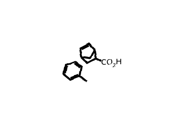 Cc1ccccc1.O=C(O)C1CC2C=CC1C2